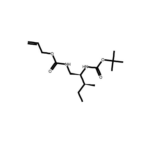 C=CCOC(=O)NC[C@@H](NC(=O)OC(C)(C)C)[C@@H](C)CC